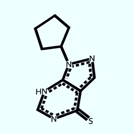 S=c1nc[nH]c2c1cnn2C1CCCC1